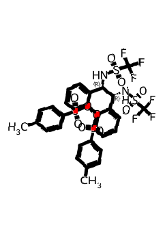 Cc1ccc(S(=O)(=O)Oc2ccccc2[C@@H](NS(=O)(=O)C(F)(F)F)[C@H](NS(=O)(=O)C(F)(F)F)c2ccccc2OS(=O)(=O)c2ccc(C)cc2)cc1